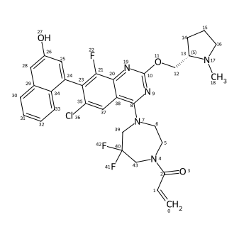 C=CC(=O)N1CCN(c2nc(OC[C@@H]3CCCN3C)nc3c(F)c(-c4cc(O)cc5ccccc45)c(Cl)cc23)CC(F)(F)C1